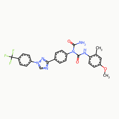 COc1ccc(NC(=O)N(C(N)=O)c2ccc(-c3ncn(-c4ccc(C(F)(F)F)cc4)n3)cc2)c(C)c1